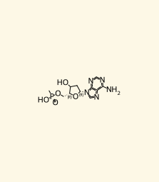 CP(=O)(O)OC[C@H]1O[C@@H](n2cnc3c(N)ncnc32)CC1O